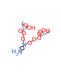 C/C=C/CC(CC(=O)OCCOCCOCCN(CCOCCOC(=O)C(C/C=C/C)CC(=O)O)c1ccc(N)c(C)c1)C(=O)O